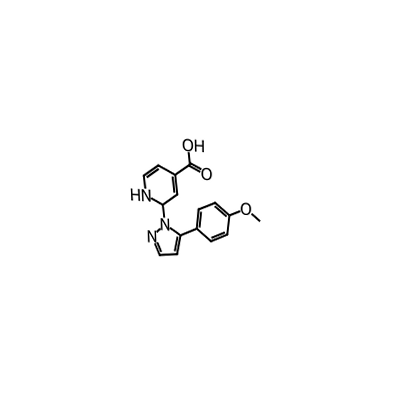 COc1ccc(-c2ccnn2C2C=C(C(=O)O)C=CN2)cc1